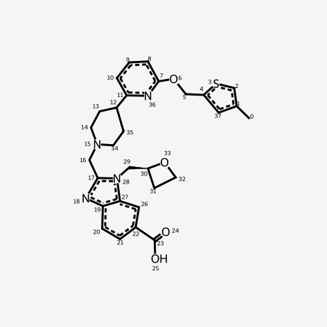 Cc1csc(COc2cccc(C3CCN(Cc4nc5ccc(C(=O)O)cc5n4C[C@@H]4CCO4)CC3)n2)c1